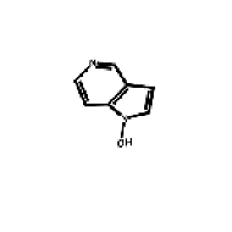 On1ccc2cnccc21